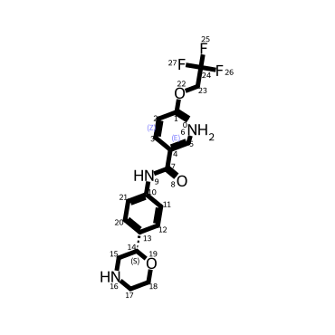 C=C(/C=C\C(=C/N)C(=O)Nc1ccc([C@H]2CNCCO2)cc1)OCC(F)(F)F